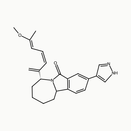 C=C(/C=C\C=C(/C)OC)[C@H]1CCCCC2c3ccc(-c4cn[nH]c4)cc3C(=O)N21